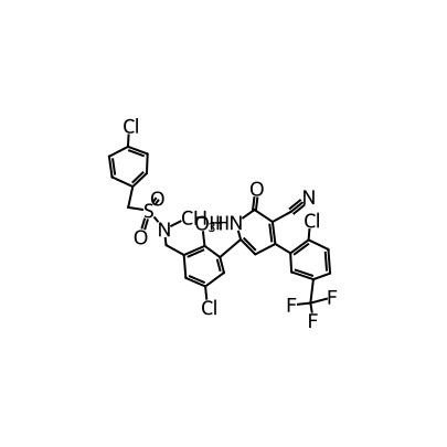 CN(Cc1cc(Cl)cc(-c2cc(-c3cc(C(F)(F)F)ccc3Cl)c(C#N)c(=O)[nH]2)c1O)S(=O)(=O)Cc1ccc(Cl)cc1